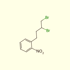 O=[N+]([O-])c1ccccc1CCC(Br)CBr